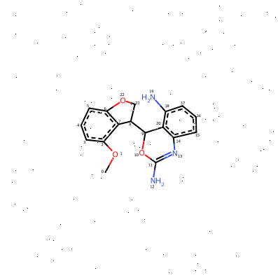 COc1cccc2c1C(C1OC(N)=Nc3cccc(N)c31)CO2